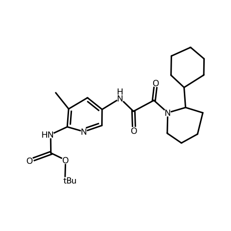 Cc1cc(NC(=O)C(=O)N2CCCCC2C2CCCCC2)cnc1NC(=O)OC(C)(C)C